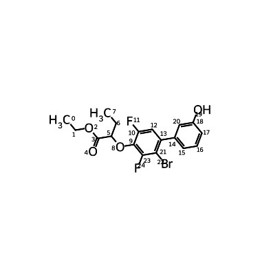 CCOC(=O)C(CC)Oc1c(F)cc(-c2cccc(O)c2)c(Br)c1F